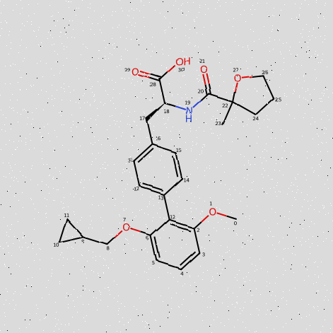 COc1cccc(OCC2CC2)c1-c1ccc(C[C@H](NC(=O)C2(C)CCCO2)C(=O)O)cc1